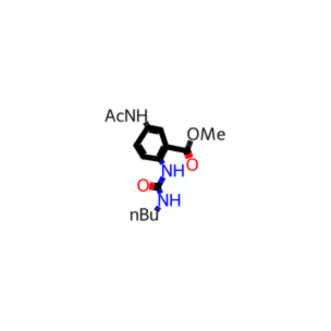 CCCCNC(=O)Nc1ccc(NC(C)=O)cc1C(=O)OC